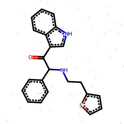 O=C(c1c[nH]c2ccccc12)C(NCCc1cccs1)c1ccccc1